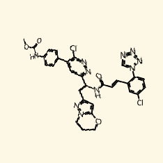 COC(=O)Nc1ccc(-c2cc(C(Cc3cc4n(n3)CCCO4)NC(=O)/C=C/c3cc(Cl)ccc3-n3cnnn3)nnc2Cl)cc1